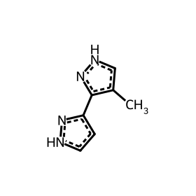 Cc1c[nH]nc1-c1cc[nH]n1